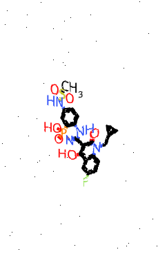 CS(=O)(=O)Nc1ccc2c(c1)P(=O)(O)N=C(c1c(O)c3cc(F)ccc3n(CC3CC3)c1=O)N2